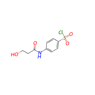 O=C(CCO)Nc1ccc(S(=O)(=O)Cl)cc1